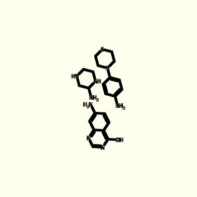 NC1CNCCN1.Nc1ccc(N2CCSCC2)cc1.Nc1ccc2c(O)ncnc2c1